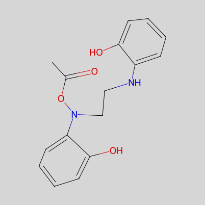 CC(=O)ON(CCNc1ccccc1O)c1ccccc1O